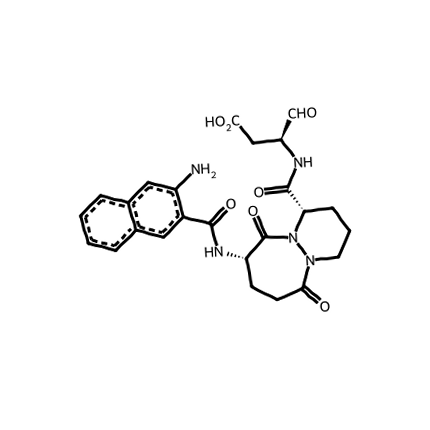 Nc1cc2ccccc2cc1C(=O)N[C@H]1CCC(=O)N2CCC[C@@H](C(=O)N[C@H](C=O)CC(=O)O)N2C1=O